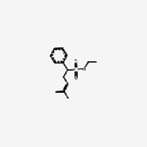 CCOS(=O)(=O)C(CC=C(C)C)c1ccccc1